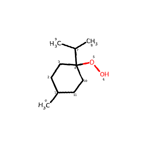 CC1CCC(OO)(C(C)C)CC1